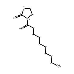 CCCCCCCCCC(=O)N1CCOC1=O